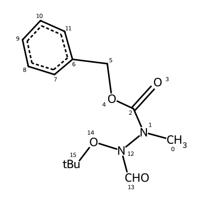 CN(C(=O)OCc1ccccc1)N(C=O)OC(C)(C)C